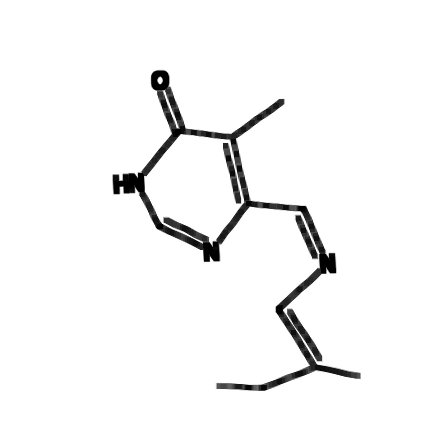 CC/C(C)=C/N=C\c1nc[nH]c(=O)c1C